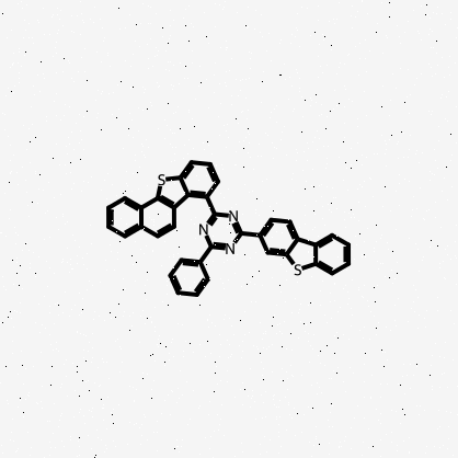 c1ccc(-c2nc(-c3ccc4c(c3)sc3ccccc34)nc(-c3cccc4sc5c6ccccc6ccc5c34)n2)cc1